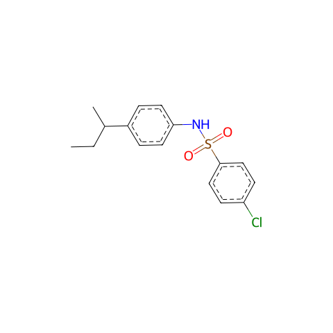 CCC(C)c1ccc(NS(=O)(=O)c2ccc(Cl)cc2)cc1